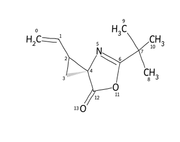 C=CC1C[C@@]12N=C(C(C)(C)C)OC2=O